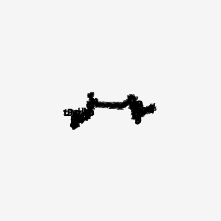 CN1CCC[C@@H]1c1cc2cnc(NC(=O)c3ccc4c(C5CC5)nn(CCCCCCCC#Cc5cccc6c5CN(C5CCC(=O)N(COCC[Si](C)(C)C)C5=O)C6=O)c4c3)cc2n1C(=O)OC(C)(C)C